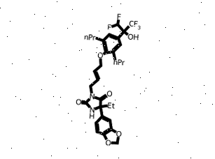 CCCc1cc(C(O)(C(F)F)C(F)(F)F)cc(CCC)c1OC/C=C/CN1C(=O)NC(CC)(c2ccc3c(c2)OCO3)C1=O